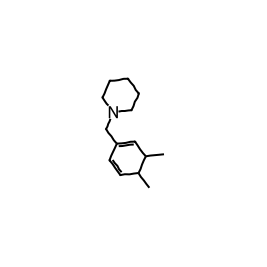 CC1C=CC(CN2CCCCC2)=CC1C